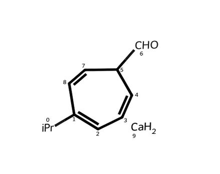 CC(C)C1=CC=CC(C=O)C=C1.[CaH2]